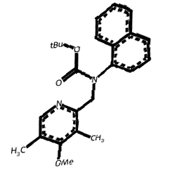 COc1c(C)cnc(CN(C(=O)OC(C)(C)C)c2cccc3ccccc23)c1C